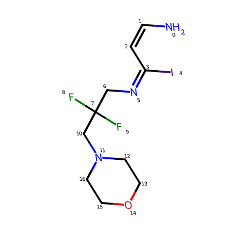 N/C=C\C(I)=N/CC(F)(F)CN1CCOCC1